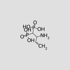 C=CC(N)C(P(=O)(O)O)P(=O)(O)O